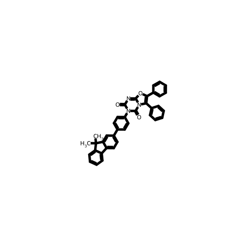 CC1(C)c2ccccc2-c2ccc(-c3ccc(-n4c(=O)nc5oc(-c6ccccc6)c(-c6ccccc6)n5c4=O)cc3)cc21